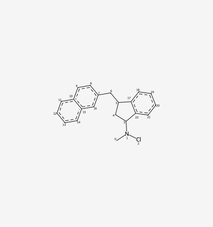 CN(Cl)C1CC(Cc2ccc3ccccc3c2)c2ccccc21